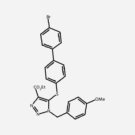 CCOC(=O)c1nnn(Cc2ccc(OC)cc2)c1Sc1ccc(-c2ccc(Br)cc2)cc1